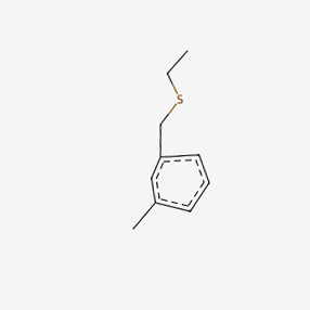 CCSCc1cccc(C)c1